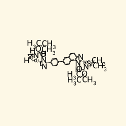 CC(C)(C)OC(=O)N1C[Si](C)(C)C[C@H]1c1nc2ccc3cc(-c4ccc(-c5ncc([C@@H]6C[C@H]7C[C@H]7N6C(=O)OC(C)(C)C)[nH]5)cc4)ccc3c2[nH]1